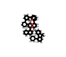 CC1(C)c2ccc(N(c3ccc(C4CCCCC4)cc3)c3ccc4ccccc4c3-c3ccc(-n4c5ccccc5c5cccc(C6CCCCC6)c54)cc3)cc2-c2c(C3CCCCC3)cccc21